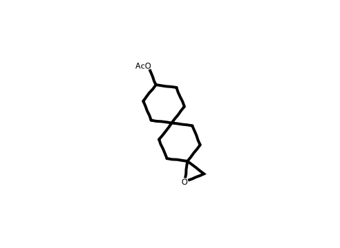 CC(=O)OC1CCC2(CC1)CCC1(CC2)CO1